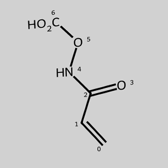 C=CC(=O)NOC(=O)O